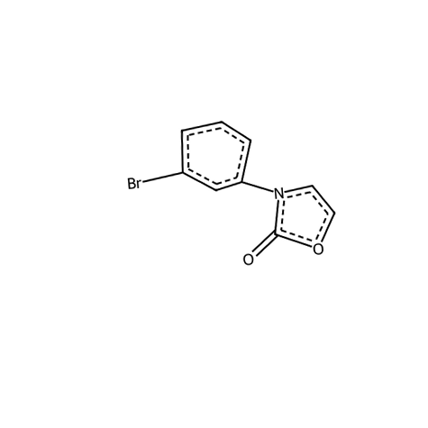 O=c1occn1-c1cccc(Br)c1